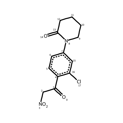 O=C(C[N+](=O)[O-])c1ccc(N2CCCCC2=O)cc1Cl